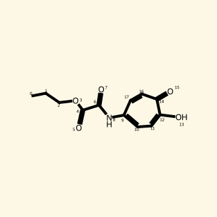 CCCOC(=O)C(=O)Nc1ccc(O)c(=O)cc1